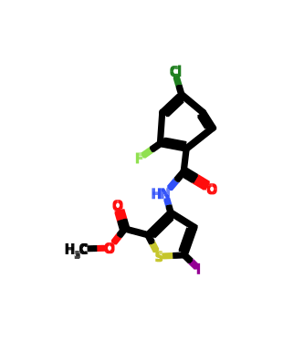 COC(=O)c1sc(I)cc1NC(=O)c1ccc(Cl)cc1F